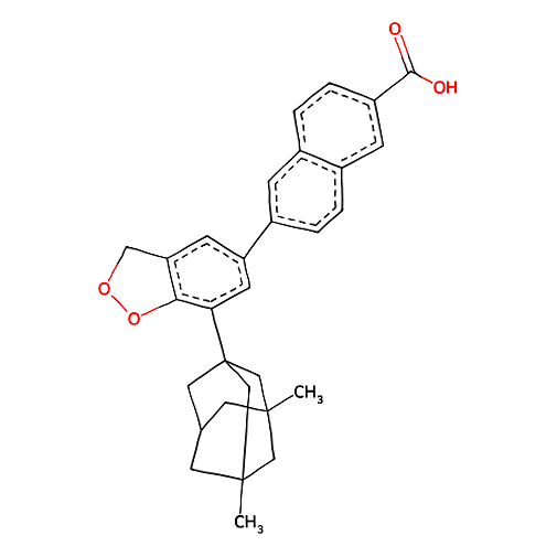 CC12CC3CC(C)(C1)CC(c1cc(-c4ccc5cc(C(=O)O)ccc5c4)cc4c1OOC4)(C3)C2